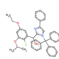 CCOc1cc(OC(C)C)c(F)c(C(O)c2nc(-c3ccccc3)cn2C(c2ccccc2)(c2ccccc2)c2ccccc2)c1